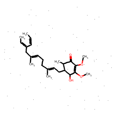 C/C=C\C(=C/C)C/C(C)=C/CC/C(C)=C/CC1C(C)C(=O)C(OC)=C(OC)C1O